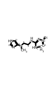 CN/C(=N\[N+](=O)[O-])NCCN(C)c1c[nH]cn1